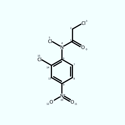 O=C(CCl)N(Cl)c1ccc([N+](=O)[O-])cc1Cl